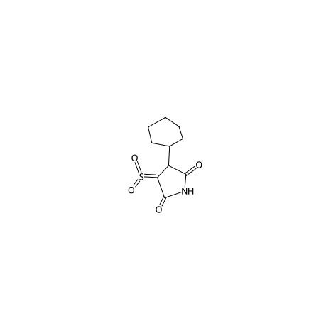 O=C1NC(=O)C(C2CCCCC2)C1=S(=O)=O